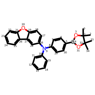 CC1(C)OB(c2ccc(N(c3ccccc3)c3ccc4oc5ccccc5c4c3)cc2)OC1(C)C